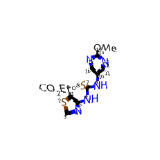 CCOC(=O)c1scnc1NC(=S)Nc1cnc(OC)nc1